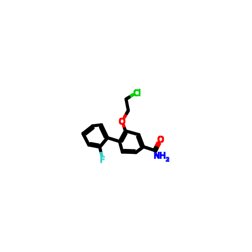 NC(=O)c1ccc(-c2ccccc2F)c(OCCCl)c1